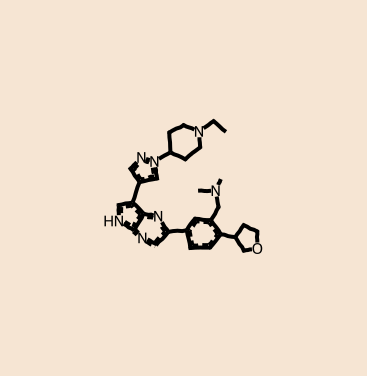 CCN1CCC(n2cc(-c3c[nH]c4ncc(-c5ccc(C6CCOC6)c(CN(C)C)c5)nc34)cn2)CC1